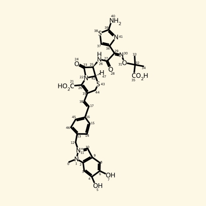 Cn1c2cc(O)c(O)cc2c[n+]1Cc1ccc(/C=C/C2=C(C(=O)O)N3C(=O)[C@@H](NC(=O)/C(=N\OC(C)(C)C(=O)O)c4csc(N)n4)[C@H]3SC2)cc1